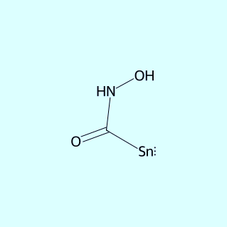 O=[C]([Sn])NO